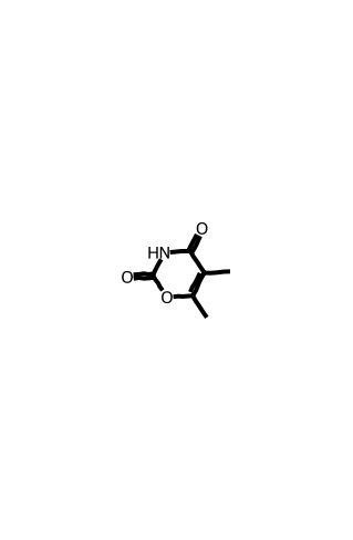 Cc1oc(=O)[nH]c(=O)c1C